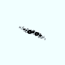 C=CCOC(=O)Oc1ccc(C(=O)Oc2ccc(OC(=O)C=C)cc2)cc1